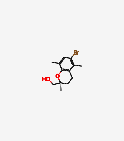 Cc1cc(Br)c(C)c2c1O[C@](C)(CO)CC2